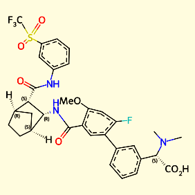 COc1cc(F)c(-c2cccc([C@@H](C(=O)O)N(C)C)c2)cc1C(=O)N[C@@H]1[C@H]2CC[C@H](C2)[C@@H]1C(=O)Nc1cccc(S(=O)(=O)C(F)(F)F)c1